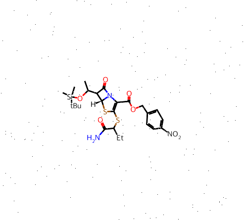 CCC(SC1=C(C(=O)OCc2ccc([N+](=O)[O-])cc2)N2C(=O)C(C(C)O[Si](C)(C)C(C)(C)C)[C@H]2S1)C(N)=O